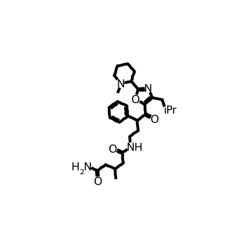 CC(C)Cc1nc(C2CCCCN2C)oc1C(=O)C(CCNC(=O)CC(C)CC(N)=O)c1ccccc1